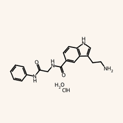 Cl.NCCc1c[nH]c2ccc(C(=O)NCC(=O)Nc3ccccc3)cc12.O